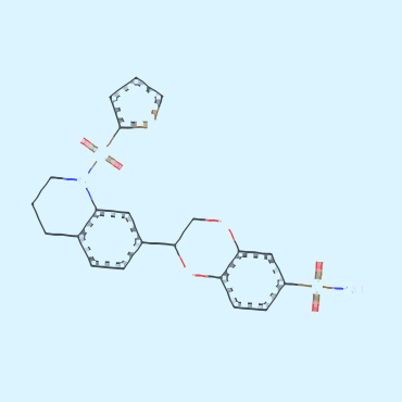 NS(=O)(=O)c1ccc2c(c1)OCC(c1ccc3c(c1)N(S(=O)(=O)c1cccs1)CCC3)O2